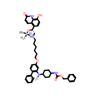 CC(C)(C)[Si](C)(C)O[C@@H](CNCCCCCCOc1ccc(-c2ccccc2)c(N(C(=O)O)C2CCC(NC(=O)OCc3ccccc3)CC2)c1)c1ccc(O)c2[nH]c(=O)ccc12